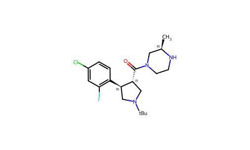 C[C@@H]1CN(C(=O)[C@@H]2CN(C(C)(C)C)C[C@H]2c2ccc(Cl)cc2F)CCN1